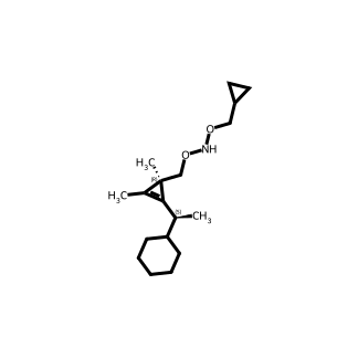 CC1=C([C@@H](C)C2CCCCC2)[C@]1(C)CONOCC1CC1